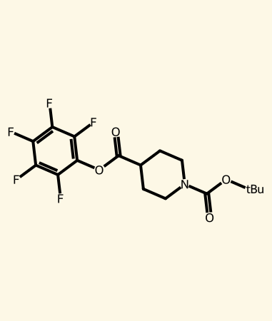 CC(C)(C)OC(=O)N1CCC(C(=O)Oc2c(F)c(F)c(F)c(F)c2F)CC1